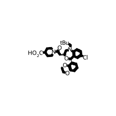 CC(C)(C)CN1C[C@H](CC(=O)N2CCC(C(=O)O)CC2)O[C@@H](c2cccc3c2OCCO3)c2cc(Cl)ccc21